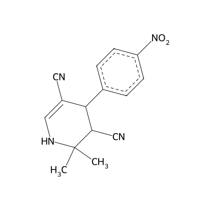 CC1(C)NC=C(C#N)C(c2ccc([N+](=O)[O-])cc2)C1C#N